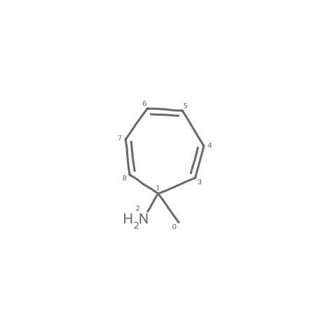 CC1(N)C=CC=CC=C1